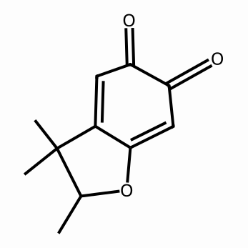 CC1OC2=CC(=O)C(=O)C=C2C1(C)C